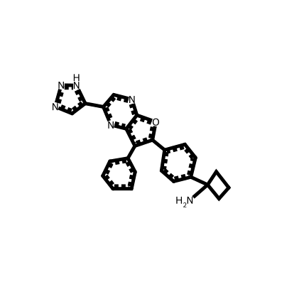 NC1(c2ccc(-c3oc4ncc(-c5cnn[nH]5)nc4c3-c3ccccc3)cc2)CCC1